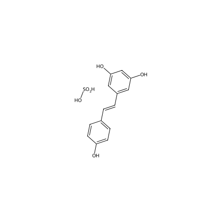 O=S(=O)(O)O.Oc1ccc(C=Cc2cc(O)cc(O)c2)cc1